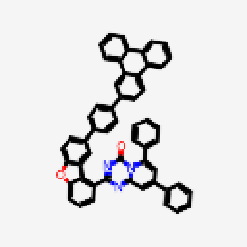 O=c1nc(-c2cccc3oc4ccc(-c5ccc(-c6ccc7c8ccccc8c8ccccc8c7c6)cc5)cc4c23)nc2cc(-c3ccccc3)cc(-c3ccccc3)n12